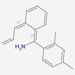 C=C/C=c1/cccc/c1=C(/N)c1ccc(C)cc1C